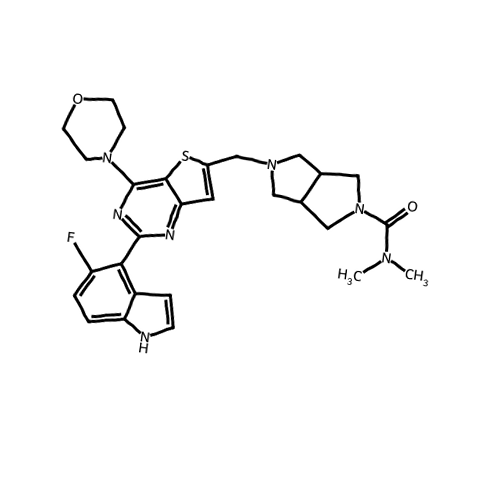 CN(C)C(=O)N1CC2CN(Cc3cc4nc(-c5c(F)ccc6[nH]ccc56)nc(N5CCOCC5)c4s3)CC2C1